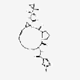 Cn1ncc(C(=O)N[C@H]2CCCCC/C=C\C3C[C@@]3(C(=O)NS(=O)(=O)C3(C)CC3)NC(=O)C3CCCN3C2=O)n1